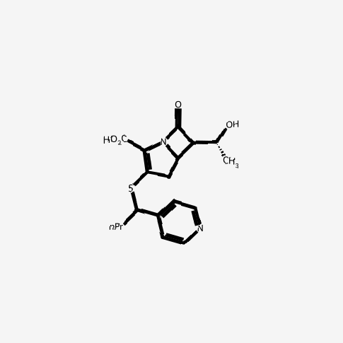 CCCC(SC1=C(C(=O)O)N2C(=O)C([C@@H](C)O)C2C1)c1ccncc1